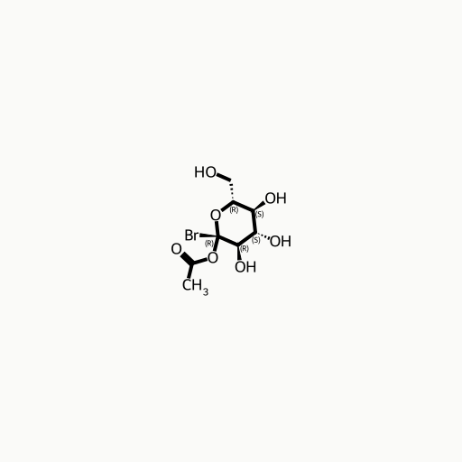 CC(=O)O[C@]1(Br)O[C@H](CO)[C@@H](O)[C@H](O)[C@H]1O